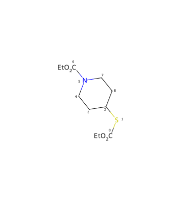 CCOC(=O)SC1CCN(C(=O)OCC)CC1